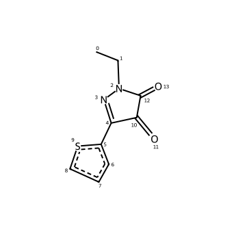 CCN1N=C(c2cccs2)C(=O)C1=O